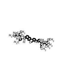 CCCC[C@H](NC(=O)[C@@H](NC(=O)OC)C(C)C)c1ncc(-c2ccc3c(c2)COc2cc4c(ccc5nc([C@@H]6C[C@H](C)CN6C(=O)[C@@H](NC(=O)OC)C(C)OC)[nH]c54)cc2-3)[nH]1